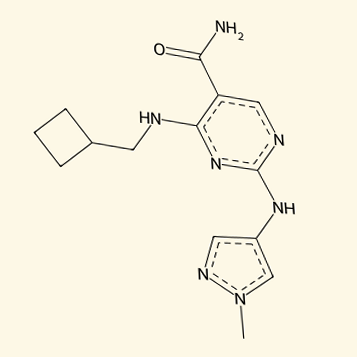 Cn1cc(Nc2ncc(C(N)=O)c(NCC3CCC3)n2)cn1